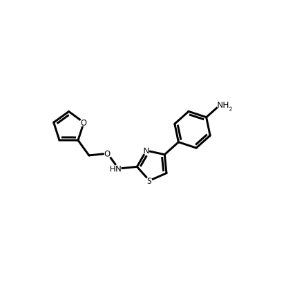 Nc1ccc(-c2csc(NOCc3ccco3)n2)cc1